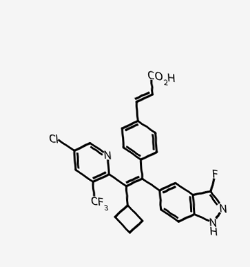 O=C(O)C=Cc1ccc(C(=C(c2ncc(Cl)cc2C(F)(F)F)C2CCC2)c2ccc3[nH]nc(F)c3c2)cc1